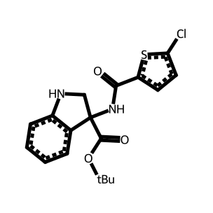 CC(C)(C)OC(=O)C1(NC(=O)c2ccc(Cl)s2)CNc2ccccc21